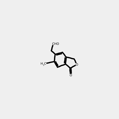 Cc1cc2c(cc1CC=O)COC2=O